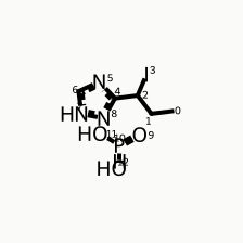 CCC(I)c1nc[nH]n1.O=[PH](O)O